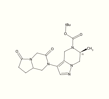 C[C@H]1Cn2ncc(N3CC4CCC(=O)N4CC3=O)c2CN1C(=O)OC(C)(C)C